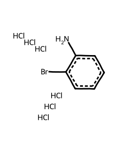 Cl.Cl.Cl.Cl.Cl.Cl.Nc1ccccc1Br